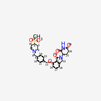 CS(=O)(=O)C1CCN(Cc2ccc(COc3cccc4c3C(=O)N(C3CCC(=O)NC3=O)C4)cc2)CC1